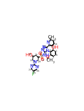 COc1cccc(O)c1-n1c(NS(=O)(=O)[C@@H]2C[C@H](O)CN(c3ncc(F)cn3)C2)nnc1C1=C=C=CC(C)=N1